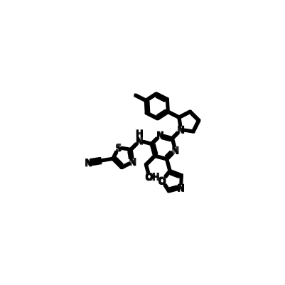 Cc1ccc(C2CCCN2c2nc(Nc3ncc(C#N)s3)c(CO)c(-c3cnco3)n2)cc1